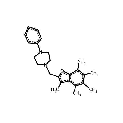 Cc1c(C)c(C)c2c(C)c(CN3CCN(c4ccccc4)CC3)oc2c1N